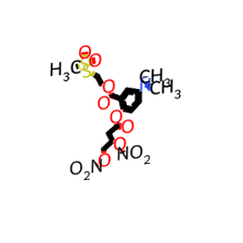 CN(C)c1ccc(OC(=O)CC(CO[N+](=O)[O-])O[N+](=O)[O-])c(C(=O)OCCSS(C)(=O)=O)c1